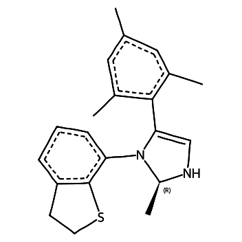 Cc1cc(C)c(C2=CN[C@@H](C)N2c2cccc3c2SCC3)c(C)c1